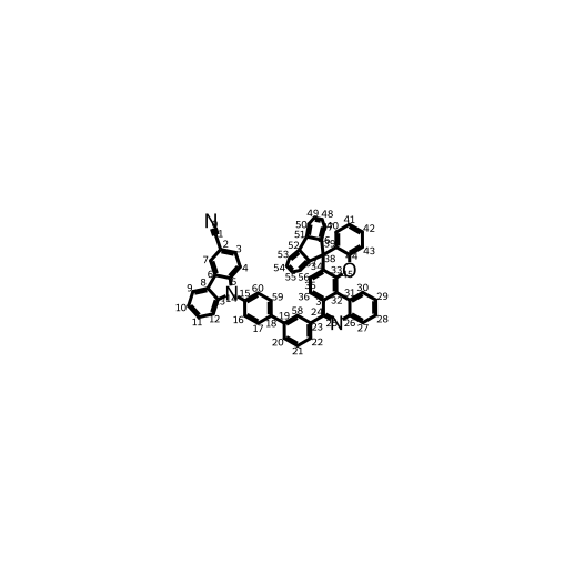 N#Cc1ccc2c(c1)c1ccccc1n2-c1ccc(-c2cccc(-c3nc4ccccc4c4c5c(ccc34)C3(c4ccccc4O5)c4ccccc4-c4ccccc43)c2)cc1